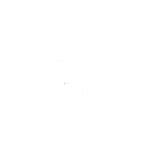 CCCC(CC)OC(=O)c1cc(C)c(C)cc1C(=O)O